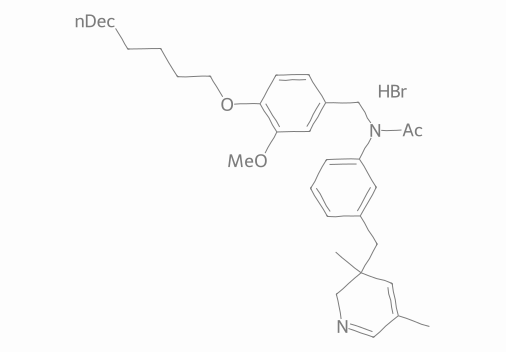 Br.CCCCCCCCCCCCCCOc1ccc(CN(C(C)=O)c2cccc(CC3(C)C=C(C)C=NC3)c2)cc1OC